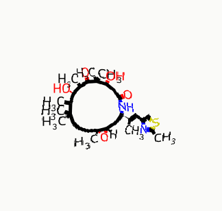 C/C(=C\c1csc(C)n1)[C@@H]1C[C@@H]2O[C@]2(C)CCCC(C)(C)C(C)[C@H](O)C(C)C(=O)C(C)(C)C(O)CC(=O)N1